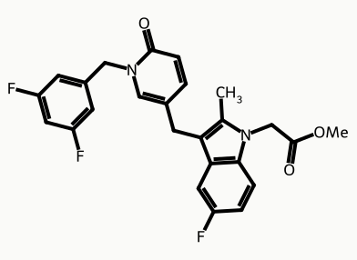 COC(=O)Cn1c(C)c(Cc2ccc(=O)n(Cc3cc(F)cc(F)c3)c2)c2cc(F)ccc21